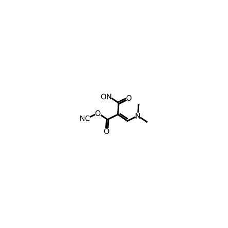 CN(C)/C=C(\C(=O)N=O)C(=O)OC#N